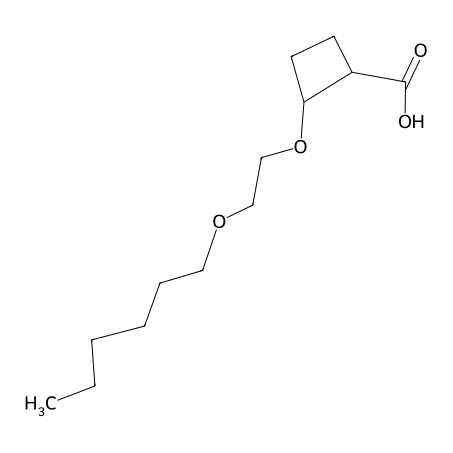 CCCCCCOCCOC1CCC1C(=O)O